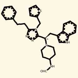 O=[C]NC1CCN([C@H](Cc2c[nH]c3ccccc23)c2nnc(CCc3ccccc3)n2Cc2cccs2)CC1